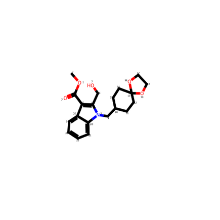 COC(=O)c1c(CO)n(CC2CCC3(CC2)OCCO3)c2ccccc12